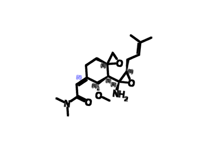 CO[C@@H]1/C(=C\C(=O)N(C)C)CC[C@]2(CO2)[C@H]1[C@@]1(N)O[C@@H]1CC=C(C)C